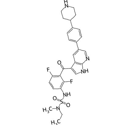 CCN(C)S(=O)(=O)Nc1ccc(F)c(C(=O)c2c[nH]c3ncc(-c4ccc(C5CCNCC5)cc4)cc23)c1F